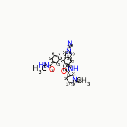 CNC(=O)c1cccc(-c2cc(NC(=O)C3CCCN(C)C3)cc3c2CN(C#N)C3)c1